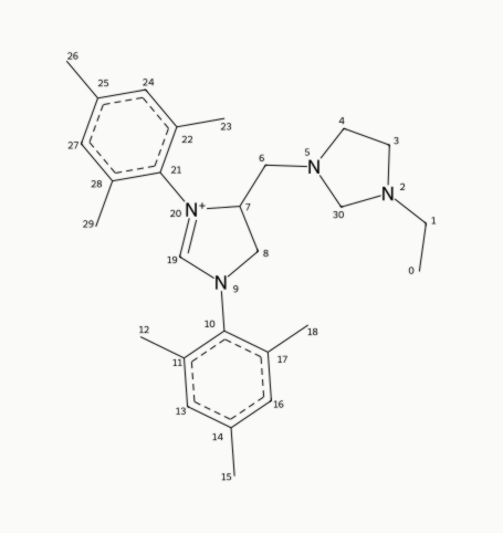 CCN1CCN(CC2CN(c3c(C)cc(C)cc3C)C=[N+]2c2c(C)cc(C)cc2C)C1